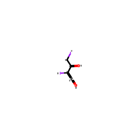 O=C=C(I)C(=O)CI